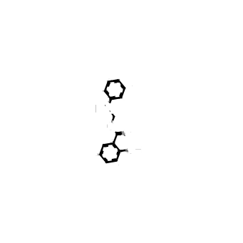 Cc1ccccc1C(=O)OCNc1ccccc1